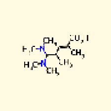 CC(=CC(C)C(N(C)C)N(C)C)C(=O)O